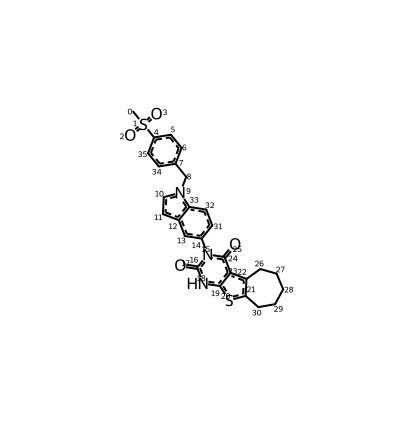 CS(=O)(=O)c1ccc(Cn2ccc3cc(-n4c(=O)[nH]c5sc6c(c5c4=O)CCCCC6)ccc32)cc1